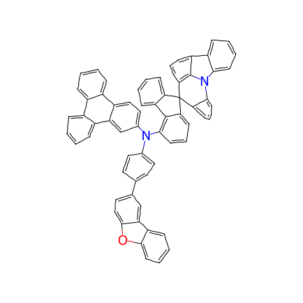 c1ccc2c(c1)-c1c(N(c3ccc(-c4ccc5oc6ccccc6c5c4)cc3)c3ccc4c5ccccc5c5ccccc5c4c3)cccc1C21c2ccccc2-n2c3ccccc3c3cccc1c32